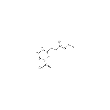 CCOC(=O)CCC1CN(C(=O)O)CCO1